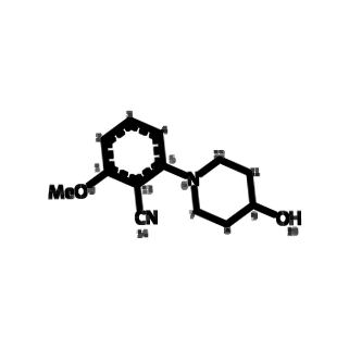 COc1cccc(N2CCC(O)CC2)c1C#N